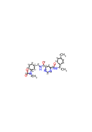 Cc1ccc([C@H](C)NC(=O)c2cc(C(=O)NCc3ccc4oc(=O)n(C)c4c3)ncn2)cc1